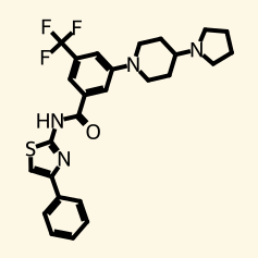 O=C(Nc1nc(-c2ccccc2)cs1)c1cc(N2CCC(N3CCCC3)CC2)cc(C(F)(F)F)c1